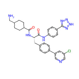 NCC1CCC(C(=O)N[C@@H](Cc2ccc(-c3cncc(Cl)c3)cc2)C(=O)Nc2ccc(-c3nn[nH]n3)cc2)CC1